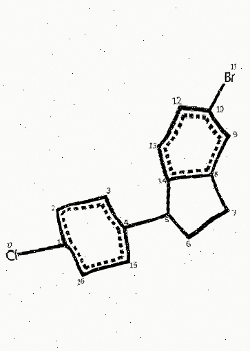 Clc1ccc(C2CCc3cc(Br)ccc32)cc1